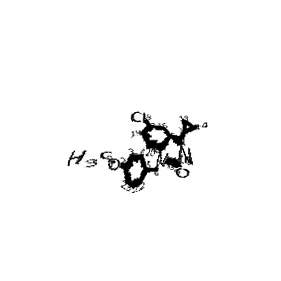 COc1ccc(Cn2c(=O)nc(C3CC3)c3cc(Cl)ccc32)cc1